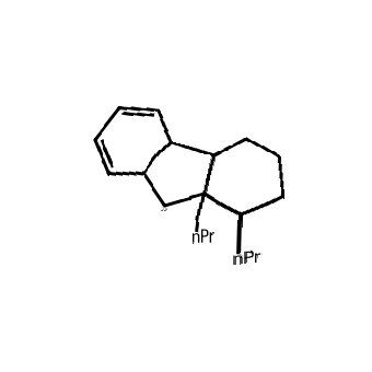 CCCC1CCCC2C3C=CC=CC3[C]C12CCC